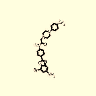 Nc1cc(Br)c2oc(-c3ccc(NC(=O)CN4CCN(c5ccc(C(F)(F)F)cc5)CC4)cc3)nc2c1